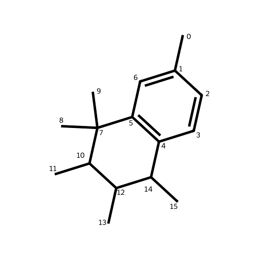 Cc1ccc2c(c1)C(C)(C)C(C)C(C)C2C